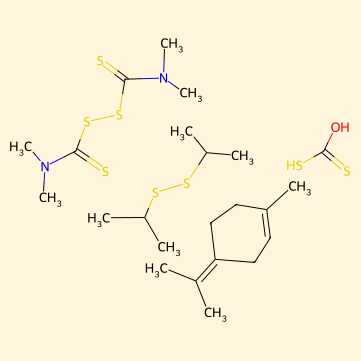 CC(C)SSC(C)C.CC1=CCC(=C(C)C)CC1.CN(C)C(=S)SSC(=S)N(C)C.OC(=S)S